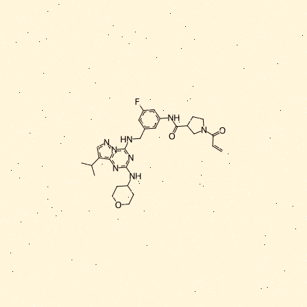 C=CC(=O)N1CCC(C(=O)Nc2cc(F)cc(CNc3nc(NC4CCOCC4)nc4c(C(C)C)cnn34)c2)C1